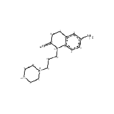 Nc1ccc2c(c1)CCC(=O)N2CCCN1CCOCC1